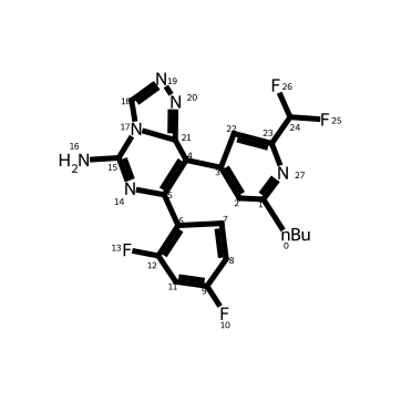 CCCCc1cc(-c2c(-c3ccc(F)cc3F)nc(N)n3cnnc23)cc(C(F)F)n1